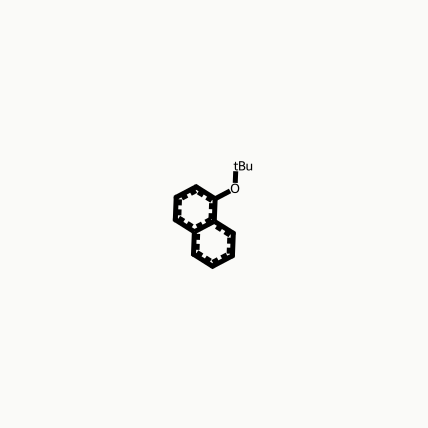 CC(C)(C)Oc1cccc2ccccc12